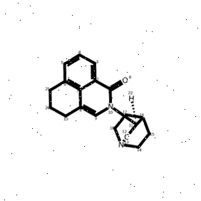 O=c1c2cccc3c2c(cn1[C@@H]1CN2CCC1CC2)CCC3